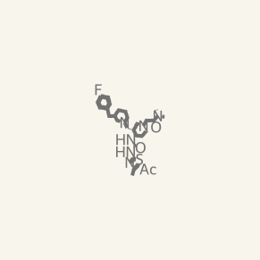 CC(=O)c1sc(NC(=O)N[C@@H]2CCN(CC(=O)N(C)C)C[C@H]2CN2CCCC(Cc3ccc(F)cc3)C2)nc1C